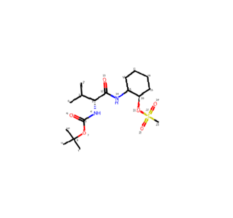 CC(C)[C@@H](NC(=O)OC(C)(C)C)C(=O)NC1CCCC[C@H]1OS(C)(=O)=O